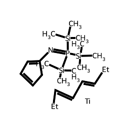 CCC=CC=CCC.C[Si](C)(C)P(=NC1=CC=CC1)([Si](C)(C)C)[Si](C)(C)C.[Ti]